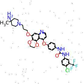 CC1(N)CCN(CCCOc2cc3nccc(Oc4ccc(NC(=O)Nc5ccc(Cl)c(C(F)(F)F)c5)cc4)c3c3c2OCCO3)CC1